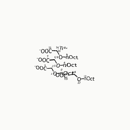 CCCCCCCCOCC(=O)[O-].CCCCCCCCOCC(=O)[O-].CCCCCCCCOCC(=O)[O-].CCCCCCCCOCC(=O)[O-].[Ti+4]